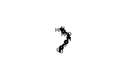 CS(=O)(=O)c1ccc(COc2ccc(-c3cn(C(=O)NCc4ccc5[nH]cnc5c4)cn3)cc2)cc1